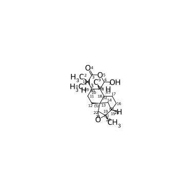 CC1(C)C(=O)OC(O)[C@@]2(C)[C@H]1CC[C@]13C[C@H](CC[C@@H]12)[C@]1(C)OC31